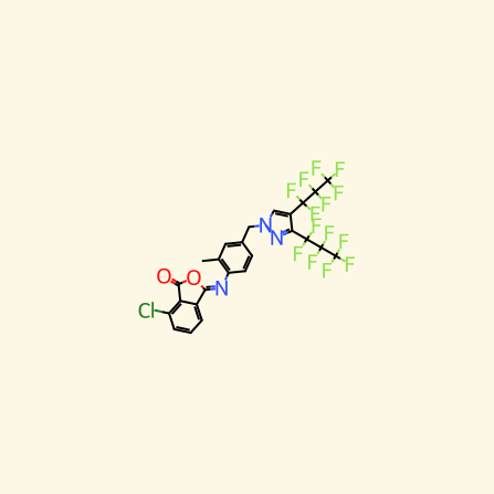 Cc1cc(Cn2cc(C(F)(F)C(F)(F)C(F)(F)F)c(C(F)(F)C(F)(F)C(F)(F)F)n2)ccc1/N=C1\OC(=O)c2c(Cl)cccc21